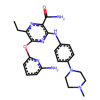 CCc1nc(C(N)=O)c(Nc2ccc(N3CCN(C)CC3)cc2)nc1Oc1cccc(N)n1